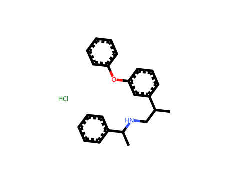 CC(CNC(C)c1ccccc1)c1cccc(Oc2ccccc2)c1.Cl